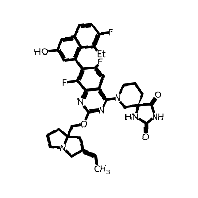 C/C=C1\CN2CCCC2(COc2nc(N3CCC[C@]4(C3)NC(=O)NC4=O)c3cc(F)c(-c4cc(O)cc5ccc(F)c(CC)c45)c(F)c3n2)C1